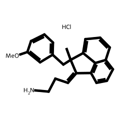 COc1cccc(CC2(C)C(=CCCN)c3cccc4cccc2c34)c1.Cl